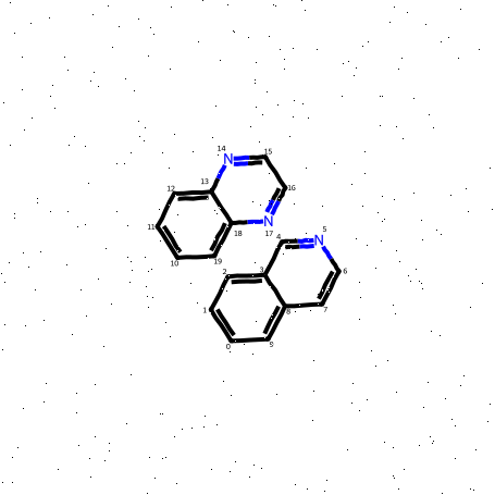 c1ccc2cnccc2c1.c1ccc2nccnc2c1